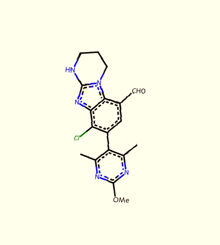 COc1nc(C)c(-c2cc(C=O)c3c(nc4n3CCCN4)c2Cl)c(C)n1